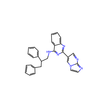 c1ccc(CC(CNc2nc(-c3cnc4nccn4c3)nc3ccccc23)c2ccccc2)cc1